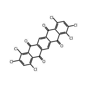 O=c1c2cc3c(=O)c4c(Cl)c(Cl)cc(Cl)c4c(=O)c3cc2c(=O)c2c(Cl)c(Cl)cc(Cl)c12